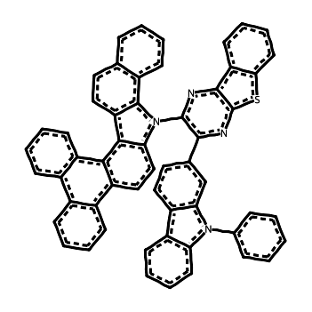 c1ccc(-n2c3ccccc3c3ccc(-c4nc5sc6ccccc6c5nc4-n4c5ccc6c7ccccc7c7ccccc7c6c5c5ccc6ccccc6c54)cc32)cc1